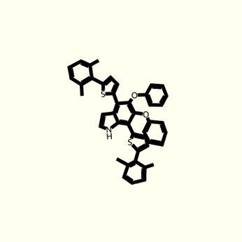 Cc1cccc(C)c1-c1ccc(-c2c(Oc3ccccc3)c(Oc3ccccc3)c(-c3ccc(-c4c(C)cccc4C)s3)c3[nH]ccc23)s1